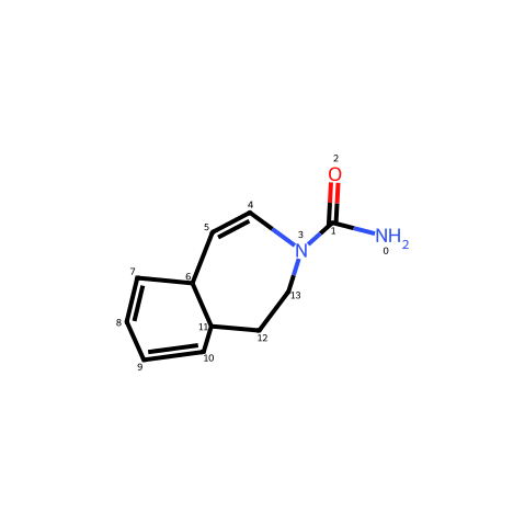 NC(=O)N1C=CC2C=CC=CC2CC1